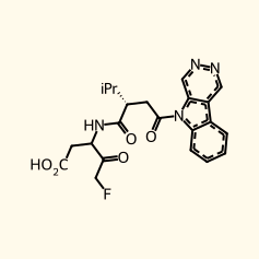 CC(C)[C@H](CC(=O)n1c2ccccc2c2cnncc21)C(=O)NC(CC(=O)O)C(=O)CF